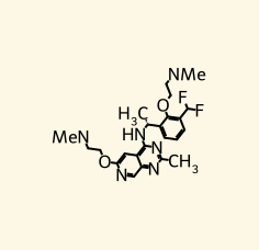 CNCCOc1cc2c(N[C@H](C)c3cccc(C(F)F)c3OCCNC)nc(C)nc2cn1